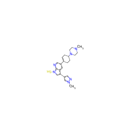 CN1CCN(C2CC=C(c3cnc4c(c3)c(-c3cnn(C)c3)cn4S)CC2)CC1